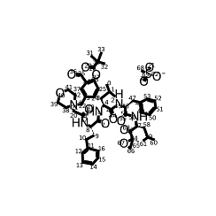 CC(C)C[C@H](NC(=O)[C@H](CCc1ccccc1)NC(=O)C[N+]1(Cc2ccc(OC(=O)C(C)(C)C)c(C=O)c2)CCOCC1)C(=O)N[C@@H](Cc1ccccc1)C(=O)N[C@@H](CC(C)C)C(=O)[C@@]1(C)CO1.CS(=O)(=O)[O-]